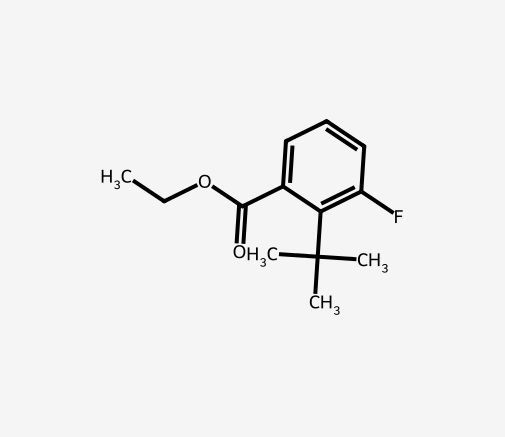 CCOC(=O)c1cccc(F)c1C(C)(C)C